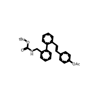 CC(=O)Oc1ccc(C=Cc2ccccc2-c2ccccc2CNC(=O)OC(C)(C)C)cc1